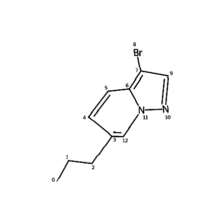 CCCc1ccc2c(Br)cnn2c1